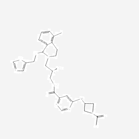 CCC(=O)N1CC(Nc2cc(C(=O)NC[C@H](O)CN3CCc4c(C)cccc4C3OCc3cnco3)ncn2)C1